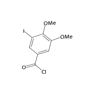 COc1cc(C(=O)Cl)cc(I)c1OC